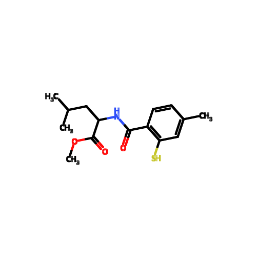 COC(=O)C(CC(C)C)NC(=O)c1ccc(C)cc1S